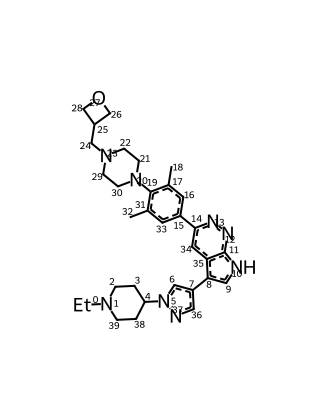 CCN1CCC(n2cc(-c3c[nH]c4nnc(-c5cc(C)c(N6CCN(CC7COC7)CC6)c(C)c5)cc34)cn2)CC1